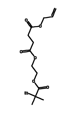 C=CCOC(=O)CCC(=O)OCCOC(=O)C(C)(C)CC